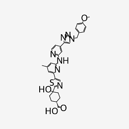 COc1ccc(Cn2cc(-c3ccnc(Nc4cc(C)cc(-c5cnc([C@]6(O)CC[C@@H](C(=O)O)CC6)s5)n4)c3)nn2)cc1